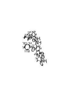 O=C1CCC(N2Cc3c(ccc(CNC(=O)Nc4cccc(C5(C(F)(F)F)CC5)c4)c3OCc3ccccc3)C2=O)C(=O)N1